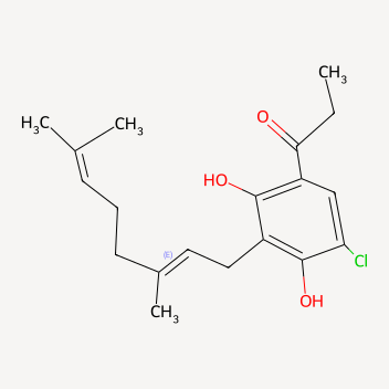 CCC(=O)c1cc(Cl)c(O)c(C/C=C(\C)CCC=C(C)C)c1O